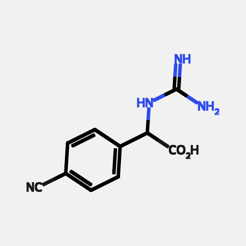 N#Cc1ccc(C(NC(=N)N)C(=O)O)cc1